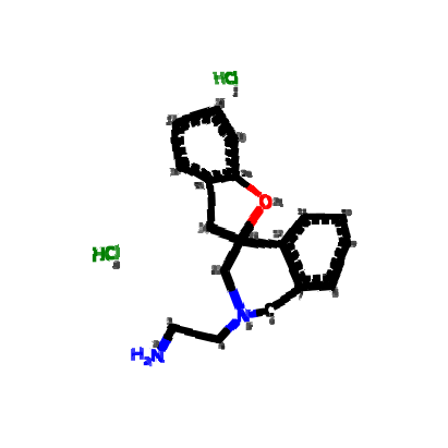 Cl.Cl.NCCN1Cc2ccccc2C2(Cc3ccccc3O2)C1